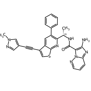 C[C@H](NC(=O)c1c(N)nc2cccnn12)c1nc2scc(C#Cc3cnn(C)c3)c2cc1-c1ccccc1